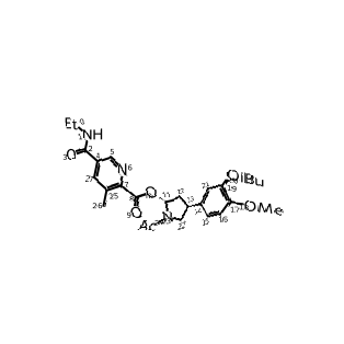 CCNC(=O)c1cnc(C(=O)O[C@@H]2C[C@@H](c3ccc(OC)c(OCC(C)C)c3)CN2C(C)=O)c(C)c1